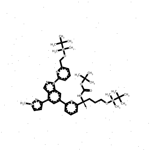 Cn1ccc(-c2cc(-c3cccc([C@@](I)(CCCO[Si](C)(C)C(C)(C)C)NC(=O)OC(C)(C)C)n3)cc3c2cnn3-c2cccc(CO[Si](C)(C)C(C)(C)C)n2)n1